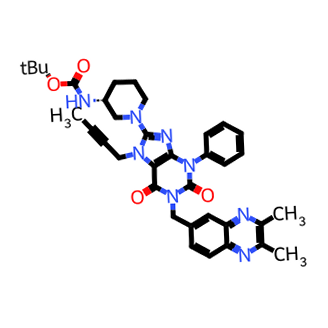 CC#CCn1c(N2CCC[C@@H](NC(=O)OC(C)(C)C)C2)nc2c1c(=O)n(Cc1ccc3nc(C)c(C)nc3c1)c(=O)n2-c1ccccc1